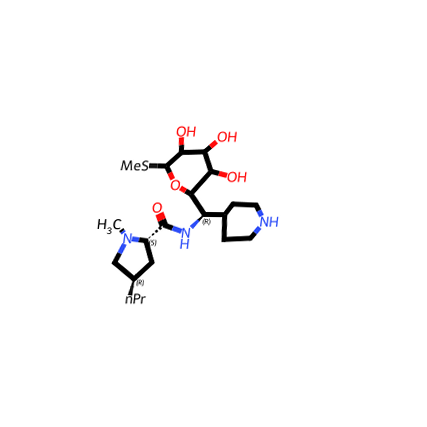 CCC[C@@H]1C[C@@H](C(=O)N[C@H](C2CCNCC2)C2OC(SC)C(O)C(O)C2O)N(C)C1